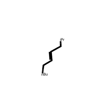 CCCCCC=CCC(C)C